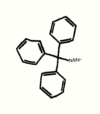 C[N]C(c1ccccc1)(c1ccccc1)c1ccccc1